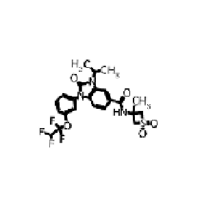 CC(C)n1c(=O)n(-c2cccc(OC(F)(F)C(F)F)c2)c2ccc(C(=O)NC3(C)CS(=O)(=O)C3)cc21